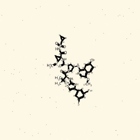 C=C[C@@H]1C[C@]1(NC(=O)[C@@H]1C[C@@H](Oc2ncc(OC)c3ccc(Cl)cc23)CN1C(=O)[C@@H](Nc1nc(-c2cc(F)cc(F)c2)cs1)C(C)(C)C)C(=O)NS(=O)(=O)C1CC1